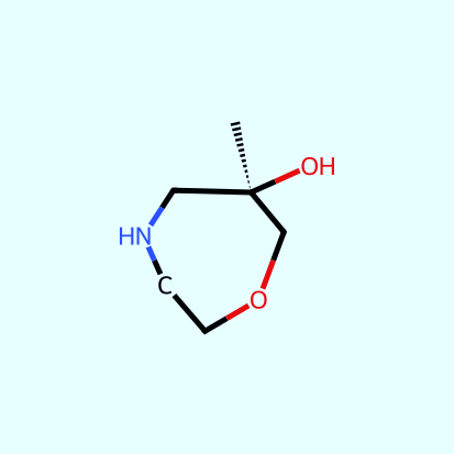 C[C@@]1(O)CNCCOC1